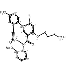 CC#Cc1cc(C(F)(F)F)ncc1-c1cc(C(=O)N(C)c2ccccc2OC)c(OCCCC(=O)O)cc1Cl